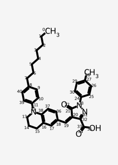 CCCCCCCCc1ccc(N2CCCc3cc(/C=C4\C(=O)N(c5ccc(C)cc5)N=C4C(=O)O)ccc32)cc1